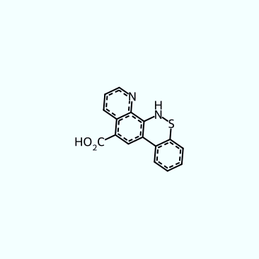 O=C(O)c1cc2c(c3ncccc13)NSc1ccccc1-2